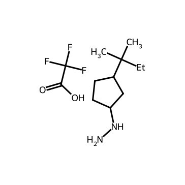 CCC(C)(C)C1CCC(NN)C1.O=C(O)C(F)(F)F